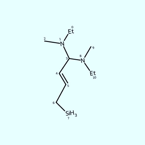 CCN(C)C(C=CC[SiH3])N(C)CC